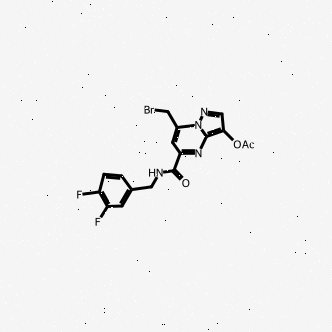 CC(=O)Oc1cnn2c(CBr)cc(C(=O)NCc3ccc(F)c(F)c3)nc12